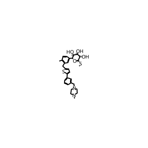 CS[C@H]1OC(c2ccc(C)c(Cc3ccc(-c4cccc(CN5CCN(C)CC5)c4)s3)c2)[C@H](O)[C@@H](O)[C@@H]1O